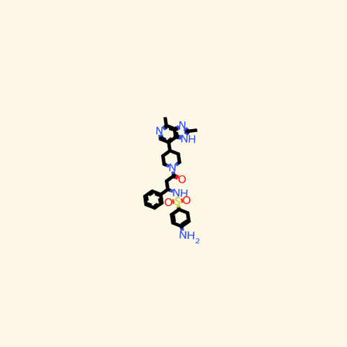 Cc1nc2c(C)ncc(C3CCN(C(=O)CC(NS(=O)(=O)C4C=CC(N)=CC4)c4ccccc4)CC3)c2[nH]1